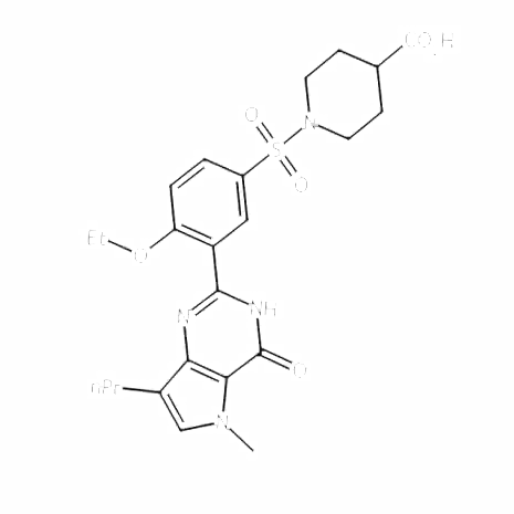 CCCc1cn(C)c2c(=O)[nH]c(-c3cc(S(=O)(=O)N4CCC(C(=O)O)CC4)ccc3OCC)nc12